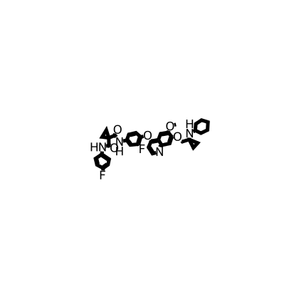 COc1cc2c(Oc3ccc(NC(=O)C4(C(=O)Nc5ccc(F)cc5)CC4)cc3F)ccnc2cc1OCC1(NC2CCCCC2)CC1